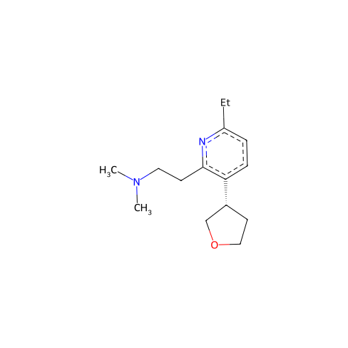 CCc1ccc([C@@H]2CCOC2)c(CCN(C)C)n1